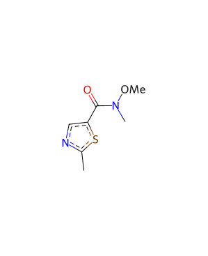 CON(C)C(=O)c1cnc(C)s1